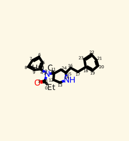 CCC(=O)N(c1ccccc1)C1(C(=O)O)CCNC(CCc2ccccc2)C1